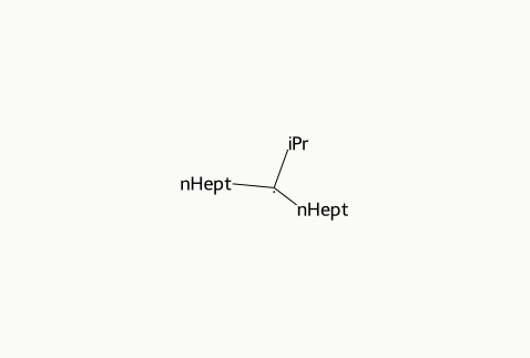 CCCCCCC[C](CCCCCCC)C(C)C